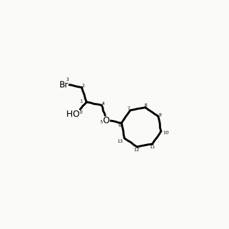 OC(CBr)COC1CCCCCCC1